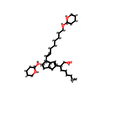 CC(=O)OCCCCC(CO)C1=CC2C(C1)C[C@H](OC1CCCCO1)[C@H]2C=CCCCCCCOC1CCCCO1